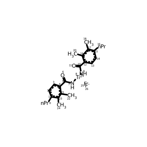 CCCc1ccc(C(=O)[NH][Ti+2][NH]C(=O)c2ccc(CCC)c(C)c2C)c(C)c1C.[F-].[F-]